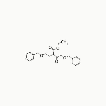 CCOC(=O)C(CCOCc1ccccc1)C(=O)COCc1ccccc1